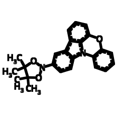 CC1(C)ON(c2ccc3c(c2)c2cccc4c2n3-c2ccccc2O4)OC1(C)C